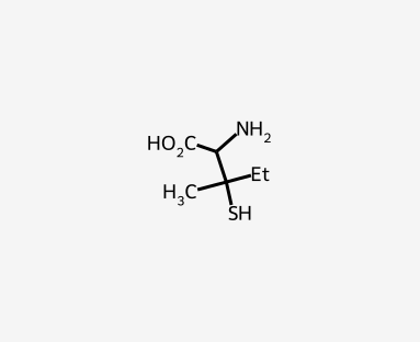 CCC(C)(S)C(N)C(=O)O